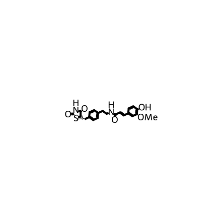 COc1cc(C=CC(=O)NCCc2ccc(C[C@@H]3SC(=O)NC3=O)cc2)ccc1O